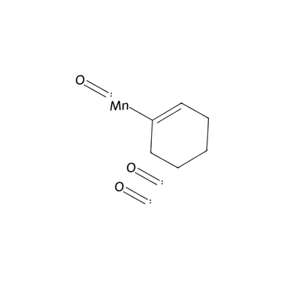 [C]=O.[C]=O.[C]=O.[Mn][C]1=CCCCC1